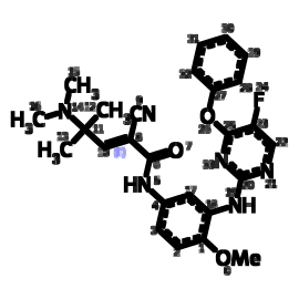 COc1ccc(NC(=O)/C(C#N)=C/C(C)(C)N(C)C)cc1Nc1ncc(F)c(Oc2ccccc2)n1